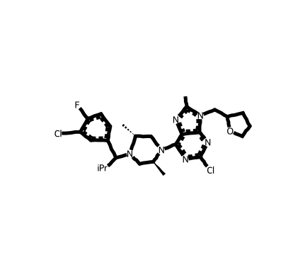 Cc1nc2c(N3C[C@@H](C)N(C(c4ccc(F)c(Cl)c4)C(C)C)C[C@@H]3C)nc(Cl)nc2n1CC1CCCO1